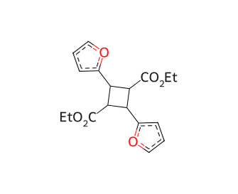 CCOC(=O)C1C(c2ccco2)C(C(=O)OCC)C1c1ccco1